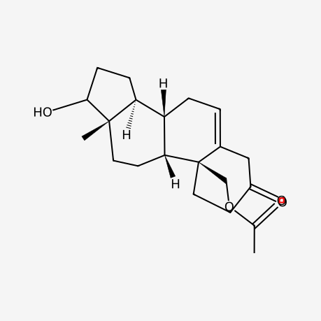 CC(=O)OC[C@]12CCC(=O)CC1=CC[C@@H]1[C@H]2CC[C@]2(C)C(O)CC[C@@H]12